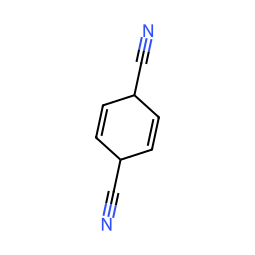 N#CC1C=CC(C#N)C=C1